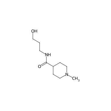 CN1CCC(C(=O)NCCCO)CC1